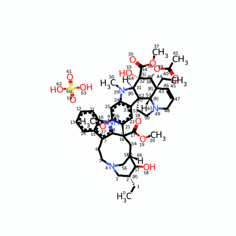 CC[C@@H]1CN2CCc3c([nH]c4ccccc34)[C@@](C(=O)OC)(c3cc4c(cc3OC)N(C)[C@H]3[C@@](O)(C(=O)OC)[C@H](OC(C)=O)[C@]5(CC)C=CCN6CC[C@]43[C@@H]65)C[C@@H](C2)C1O.O=S(=O)(O)O